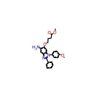 COC(=O)CCCOc1cc2c(cc1N)nc(-c1ccccc1)n2-c1ccc(OC)cc1